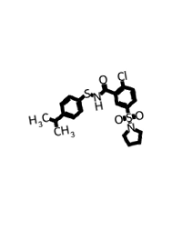 CC(C)c1ccc(SNC(=O)c2cc(S(=O)(=O)N3CCCC3)ccc2Cl)cc1